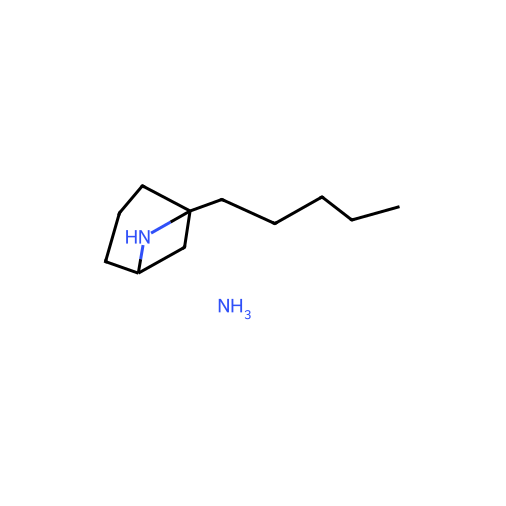 CCCCCC12CCCC(C1)N2.N